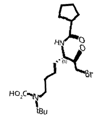 CC(C)(C)N(CCCC[C@H](NC(=O)C1CCCC1)C(=O)CBr)C(=O)O